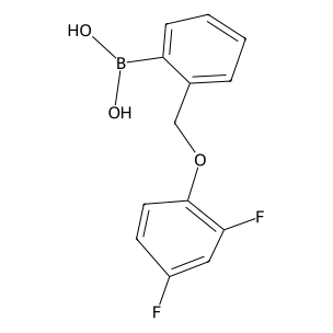 OB(O)c1ccccc1COc1ccc(F)cc1F